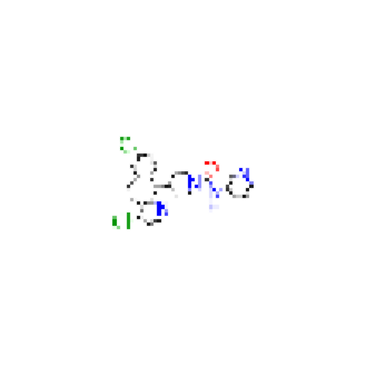 O=C(Nc1cccnc1)N1CCC(=C2c3ccc(Cl)cc3CCc3c(Cl)ccnc32)CC1